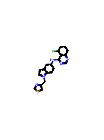 Fc1cccc2ncnc(Nc3ccc4c(ccn4Cc4cscn4)c3)c12